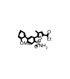 CCC(=O)c1cc(C)c(-c2cc(-c3ccccc3OC)ccc2S(N)(=O)=O)s1